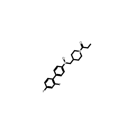 CCC(=O)N1CCC(C[S+]([O-])c2ccc(-c3ccc(F)cc3F)cc2)CC1